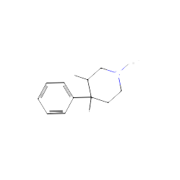 CCCN1CCC(C)(c2ccccc2)C(C)C1